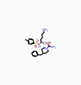 Cc1ccc(S(=O)(=O)N[C@@H](CCCCN)C(=O)O)cc1.NC(=O)N1CCC(Cc2ccccc2)CC1